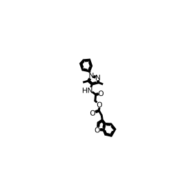 Cc1nn(-c2ccccc2)c(C)c1NC(=O)COC(=O)Cc1coc2ccccc12